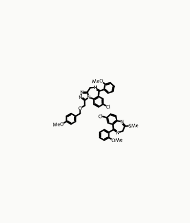 COc1ccc(COCc2nnc3n2-c2ccc(Cl)cc2C(c2ccccc2OC)=NC3)cc1.COc1ccccc1C1=NCC(SC)=Nc2ccc(Cl)cc21